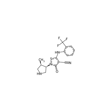 C[C@@H]1CNC[C@@H]1n1sc(Nc2ccccc2C(F)(F)F)c(C#N)c1=O